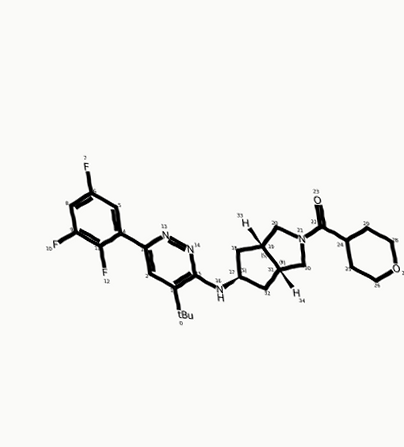 CC(C)(C)c1cc(-c2cc(F)cc(F)c2F)nnc1N[C@H]1C[C@@H]2CN(C(=O)C3CCOCC3)C[C@@H]2C1